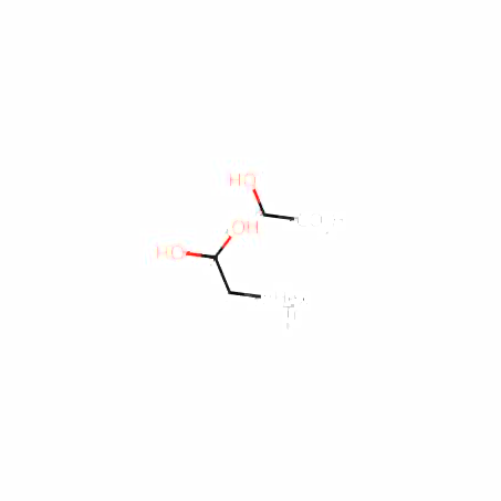 CCCCCCCC(O)O.O=C(O)CO.[Ti]